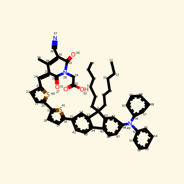 CCCCCCC1(CCCCCC)c2cc(-c3ccc(-c4ccc(C=C5C(=O)N(CC(=O)O)C(=O)C(C#N)=C5C)s4)s3)ccc2-c2ccc(N(c3ccccc3)c3ccccc3)cc21